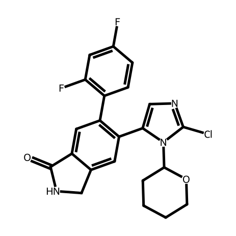 O=C1NCc2cc(-c3cnc(Cl)n3C3CCCCO3)c(-c3ccc(F)cc3F)cc21